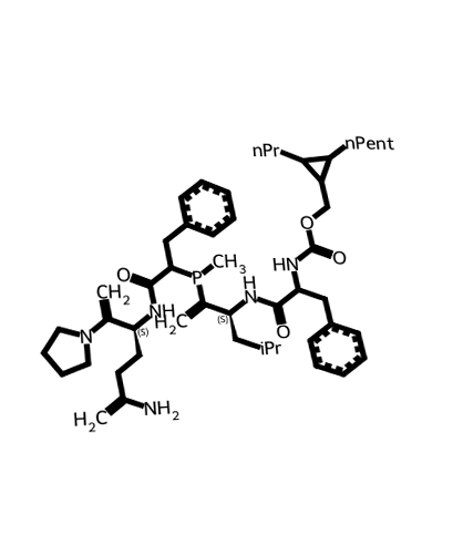 C=C(N)CC[C@H](NC(=O)C(Cc1ccccc1)P(C)C(=C)[C@H](CC(C)C)NC(=O)C(Cc1ccccc1)NC(=O)OCC1C(CCC)C1CCCCC)C(=C)N1CCCC1